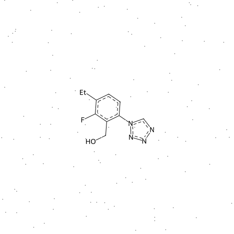 CCc1ccc(-n2cnnn2)c(CO)c1F